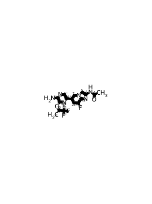 CC(=O)Nc1cn2cc(-c3cnc(N)c(OC(C)C(F)(F)F)n3)cc(F)c2n1